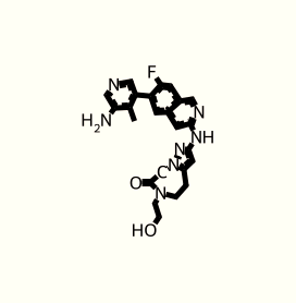 Cc1c(N)cncc1-c1cc2cc(Nc3cc4n(n3)CC(=O)N(CCO)CC4)ncc2cc1F